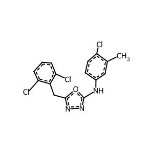 Cc1cc(Nc2nnc(Cc3c(Cl)cccc3Cl)o2)ccc1Cl